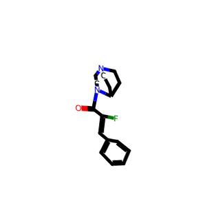 O=C(C(F)=Cc1ccccc1)N1CCN2CCC1CC2